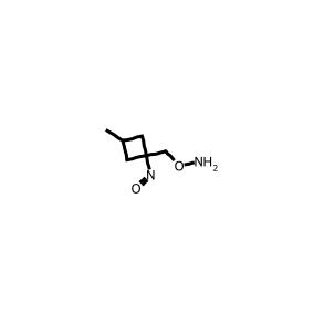 CC1CC(CON)(N=O)C1